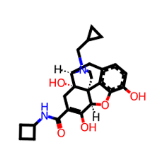 O=C(NC1CCC1)C1=C(O)[C@@H]2Oc3c(O)ccc4c3[C@@]23CCN(CC2CC2)[C@H](C4)[C@]3(O)C1